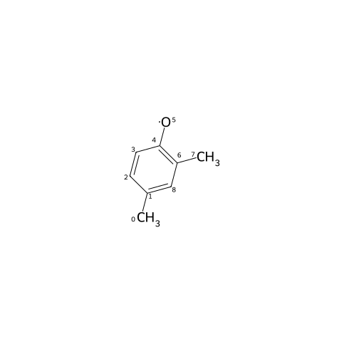 Cc1ccc([O])c(C)c1